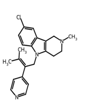 CC(C)=C(Cn1c2c(c3cc(Cl)ccc31)CN(C)CC2)c1ccncc1